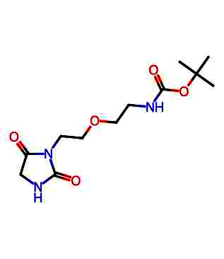 CC(C)(C)OC(=O)NCCOCCN1C(=O)CNC1=O